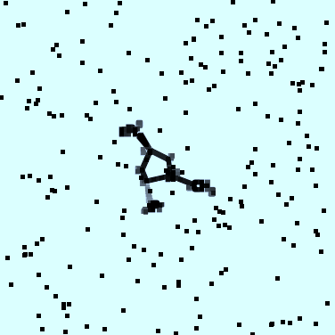 CCC[C@@H]1C[C@@H](C(C)C)N(C)C1